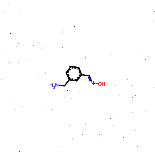 NCc1c[c]cc(C=NO)c1